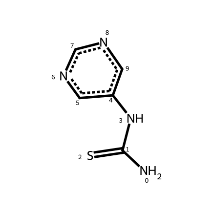 NC(=S)Nc1cncnc1